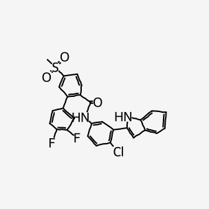 CS(=O)(=O)c1ccc(C(=O)Nc2ccc(Cl)c(-c3cc4ccccc4[nH]3)c2)c(-c2ccc(F)c(F)c2)c1